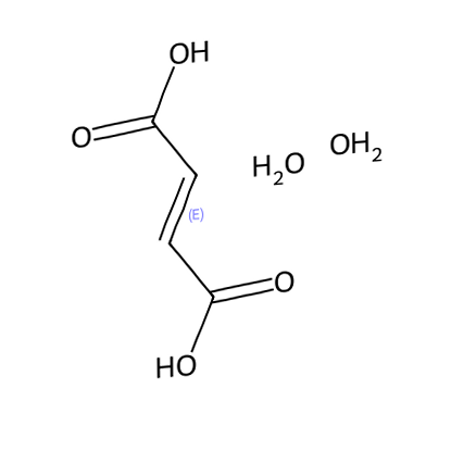 O.O.O=C(O)/C=C/C(=O)O